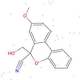 COc1ccc2c(c1)C(C#N)(CO)Oc1ccccc1-2